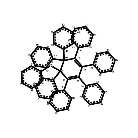 c1ccc(OC2(c3ccccc3)C(c3ccccc3)=C(c3ccccc3)C(c3ccccc3)=C(c3ccccc3)C2(c2ccccc2)c2ccccc2)cc1